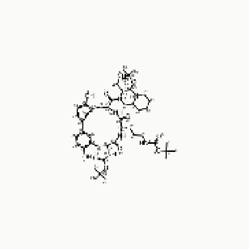 CC(C)(C)OC(=O)NCCC[C@@H]1NC(=O)[C@@H](NC(=O)OC(C)(C)C)Cc2cc(ccc2O)-c2ccc(O)c(c2)C[C@@H](C(=O)N(CCN)CC2CCCCN2C(=O)OC(C)(C)C)NC1=O